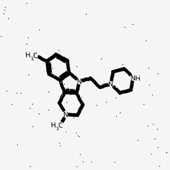 Cc1ccc2c(c1)c1c(n2CCN2CCNCC2)CCN(C)C1